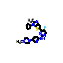 Cc1nc2cc(-c3nc(Nc4ccc(N5CCN(C)CC5)cn4)ncc3F)sc2n1C1CCCC1